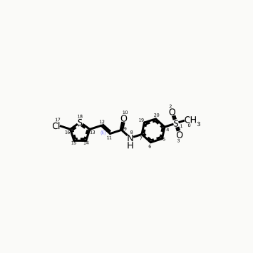 CS(=O)(=O)c1ccc(NC(=O)/C=C/c2ccc(Cl)s2)cc1